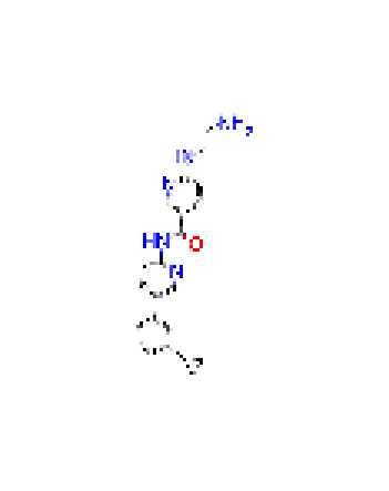 NCCNc1ccc(C(=O)Nc2ccc(-c3cccc(C4CC4)c3)cn2)cn1